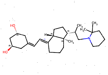 CC(CN1CCCCC1(C)C)[C@H]1CC[C@H]2/C(=C/C=C3C[C@@H](O)C[C@H](O)C3)CCC[C@]12C